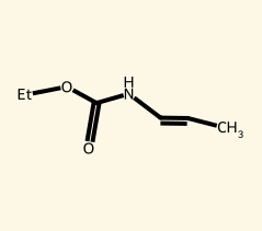 CC=CNC(=O)OCC